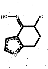 CCC1CCc2occc2/C1=N\O